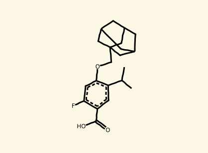 CC(C)c1cc(C(=O)O)c(F)cc1OCC12CC3CC(CC(C3)C1)C2